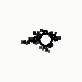 C[C@@H](Cc1cccc([C@@]2(C)CCCC(C)(C)CS(=O)(=O)CCc3c(c(F)c(F)c4[nH]ccc34)[S+]([O-])c3ccc(F)c(c3)-c3nc2nn3C)c1)C(=O)O